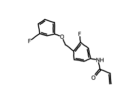 C=CC(=O)Nc1ccc(COc2cccc(F)c2)c(F)c1